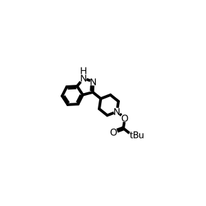 CC(C)(C)C(=O)ON1CCC(c2n[nH]c3ccccc23)CC1